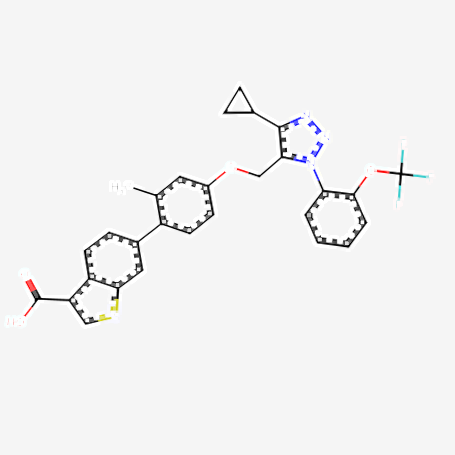 Cc1cc(OCc2c(C3CC3)nnn2-c2ccccc2OC(F)(F)F)ccc1-c1ccc2c(C(=O)O)csc2c1